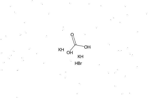 Br.O=C(O)O.[KH].[KH]